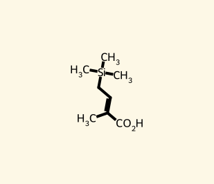 C/C(=C\C[Si](C)(C)C)C(=O)O